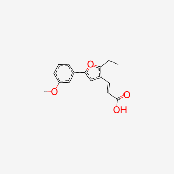 CCc1oc(-c2cccc(OC)c2)cc1C=CC(=O)O